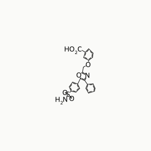 NS(=O)(=O)c1ccc(-c2oc(COc3cccc(C(=O)O)c3)nc2-c2ccccc2)cc1